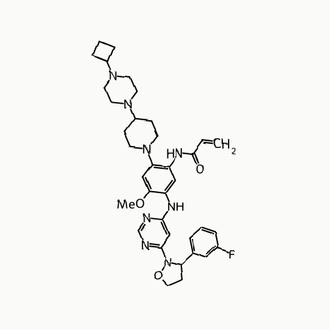 C=CC(=O)Nc1cc(Nc2cc(N3OCCC3c3cccc(F)c3)ncn2)c(OC)cc1N1CCC(N2CCN(C3CCC3)CC2)CC1